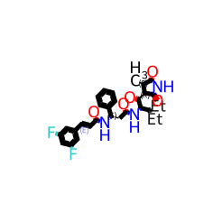 CCC(CC)C(NC(=O)C[C@H](NC(=O)/C=C/c1cc(F)cc(F)c1)c1ccccc1)C(=O)[C@@H]1C(=O)NC(=O)[C@H]1C